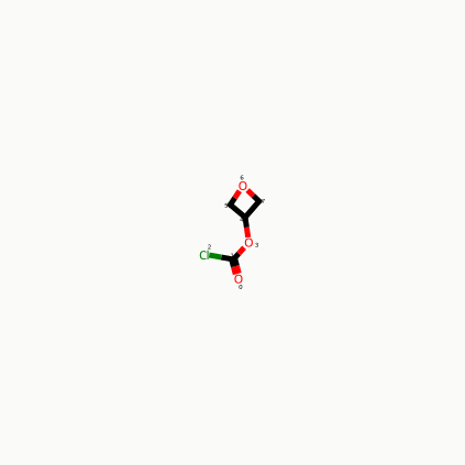 O=C(Cl)OC1COC1